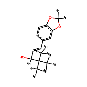 [2H]C1([2H])Oc2ccc(/C=C/C([2H])(O)C(C([2H])([2H])[2H])(C([2H])([2H])[2H])C([2H])([2H])[2H])cc2O1